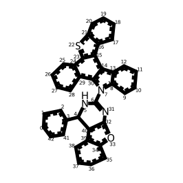 c1ccc(C2NC(n3c4ccccc4c4c5c6ccccc6sc5c5ccccc5c43)=Nc3oc4ccccc4c32)cc1